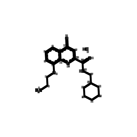 Cl.NCCOc1cccc2c(=O)cc(C(=O)NCC3CCCCC3)oc12